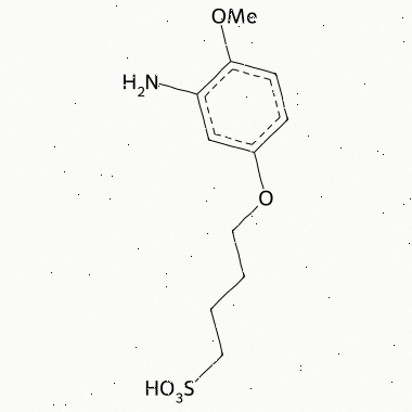 COc1ccc(OCCCCS(=O)(=O)O)cc1N